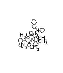 CC1(C)c2cccc3c2N2c4c1cc(-c1cccc5ccccc15)cc4C(C)(C)c1cc(N(c4ccccc4)c4ccc5ccccc5c4)cc(c12)C3(C)C